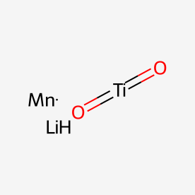 [LiH].[Mn].[O]=[Ti]=[O]